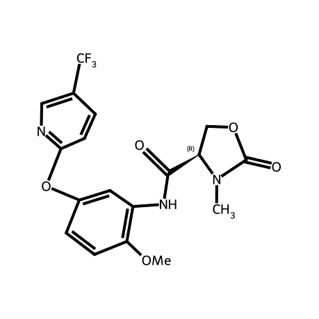 COc1ccc(Oc2ccc(C(F)(F)F)cn2)cc1NC(=O)[C@H]1COC(=O)N1C